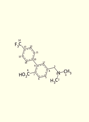 CN(C)Cc1ccc(C(=O)O)c(-c2ccc(C(F)(F)F)cc2)c1